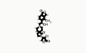 CCC1=C(N2CCC3(CCN(C[C@H](O)c4ccc5c(c4C)COC5=O)CC3)C2=O)COC1=O